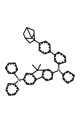 CC1(C)c2cc(N(c3ccccc3)c3ccccc3)ccc2-c2ccc(N(c3ccccc3)c3cccc(-c4ccc(C56CC7CC(CC5C7)C6)cc4)c3)cc21